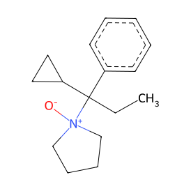 CCC(c1ccccc1)(C1CC1)[N+]1([O-])CCCC1